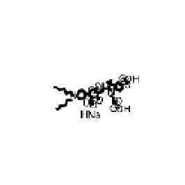 CCCCCCN(CCCCCC)c1ccc2c(c1)oc(=O)c1c(=O)c(/C=C/C3=[N+](CCCS(=O)(=O)O)c4ccc(S(=O)(=O)O)cc4C3(C)C)c(O)oc12.[NaH]